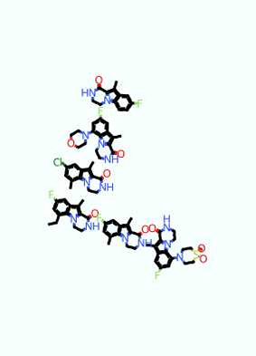 CCc1cc(F)cc2c(C)c3n(c12)CCNC3=O.Cc1c2n(c3c(C)cc(Cl)cc13)CCNC2=O.Cc1c2n(c3c(C)cc(F)cc13)CCNC2=O.Cc1c2n(c3c(N4CCOCC4)cc(F)cc13)CCNC2=O.Cc1c2n(c3c(N4CCS(=O)(=O)CC4)cc(F)cc13)CCNC2=O.Cc1c2n(c3ccc(F)cc13)CCNC2=O